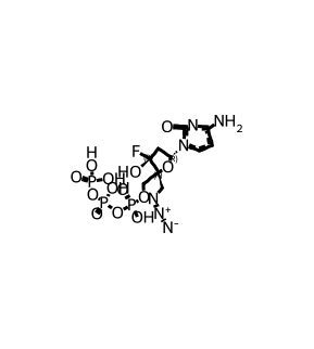 [N-]=[N+]=NC[C@]1(COP(=O)(O)OP(=O)(O)OP(=O)(O)O)O[C@@H](n2ccc(N)nc2=O)C[C@@]1(O)F